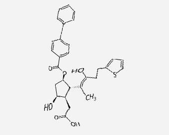 CC(=C(O)CCc1cccs1)[C@@H]1[C@@H](CC(=O)O)[C@@H](O)C[C@H]1OC(=O)c1ccc(-c2ccccc2)cc1